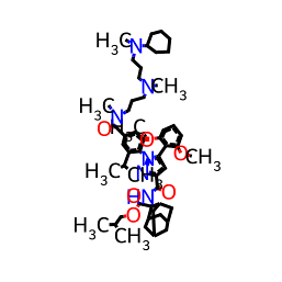 COc1cccc(OC)c1-c1cc(C(=O)NC2(C(=O)OCC(C)C)C3CC4CC(C3)CC2C4)nn1-c1ccc(C(=O)N(C)CCCN(C)CCCN(C)C2CCCCC2)cc1C(C)C